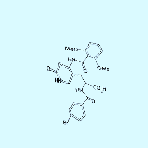 COc1cccc(OC)c1C(=O)Nc1nc(=O)[nH]cc1CC(NC(=O)c1ccc(Br)cc1)C(=O)O